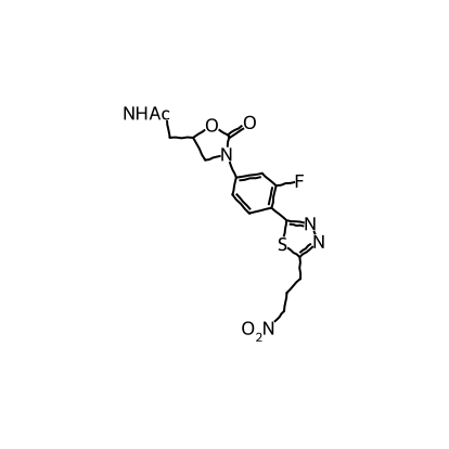 CC(=O)NCC1CN(c2ccc(-c3nnc(CCC[N+](=O)[O-])s3)c(F)c2)C(=O)O1